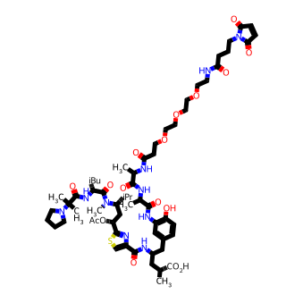 CCC(C)C(NC(=O)C(C)(C)N1CCCC1)C(=O)N(C)C(CC(OC(C)=O)c1nc(C(=O)NC(Cc2ccc(O)c(NC(=O)C(C)NC(=O)C(C)NC(=O)CCOCCOCCOCCNC(=O)CCCN3C(=O)C=CC3=O)c2)CC(C)C(=O)O)cs1)C(C)C